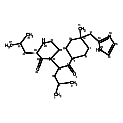 CC(C)CC(C(=O)N1CCC(C)(Cc2ncc[nH]2)CC1)N1CCN[C@@H](CC(C)C)C1=O